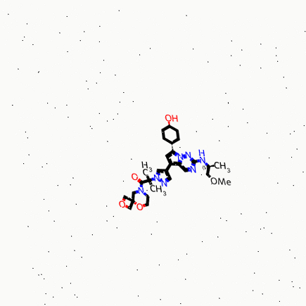 COC[C@H](C)Nc1ncc2c(-c3cnn(C(C)(C)C(=O)N4CCOC5(COC5)C4)c3)cc([C@H]3CC[C@H](O)CC3)n2n1